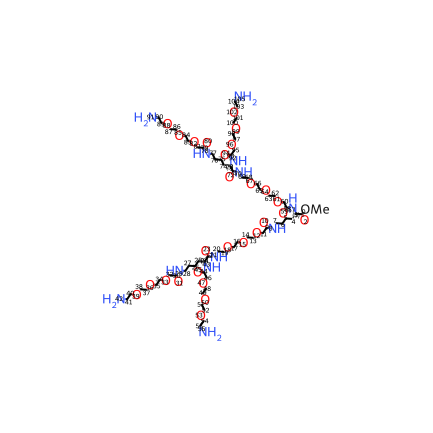 COC(=O)[C@H](CCCCNC(=O)COCCOCCOCCNC(=O)[C@H](CCCCNC(=O)COCCOCCOCCN)NC(=O)COCCOCCOCCN)NC(=O)COCCOCCOCCNC(=O)[C@H](CCCCNC(=O)COCCOCCOCCN)NC(=O)COCCOCCOCCN